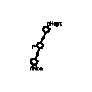 CCCCCCCCCc1ccc(C#Cc2ccc(C#Cc3ccc(CCCCCCC)cc3)cc2F)cc1